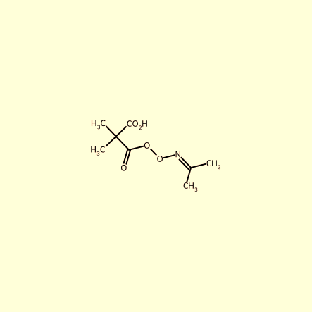 CC(C)=NOOC(=O)C(C)(C)C(=O)O